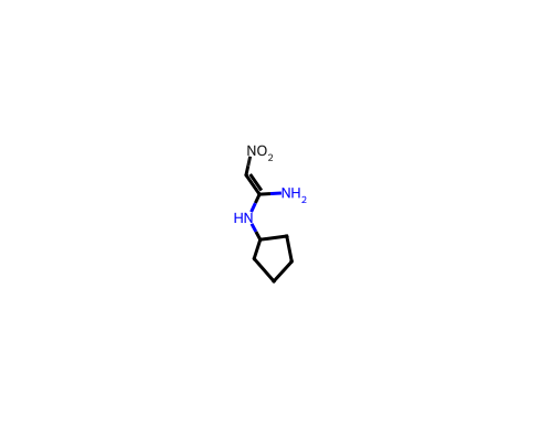 NC(=C[N+](=O)[O-])NC1CCCC1